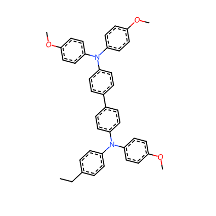 CCc1ccc(N(c2ccc(OC)cc2)c2ccc(-c3ccc(N(c4ccc(OC)cc4)c4ccc(OC)cc4)cc3)cc2)cc1